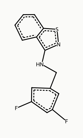 Fc1cc(F)cc(CNc2nsc3ccccc23)c1